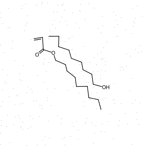 C=CC(=O)OCCCCCCCCC.CCCCCCCCCO